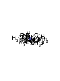 CC1CC(C)C(C(C)(C)C(C)(C)C(=O)C(C)(C)C)P/C=C/C1C(C)(C)C(C)(C)C(=O)C(C)(C)C